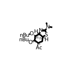 CCCCO[C@@H]1[C@H]2N=C(N(C)C)S[C@H]2C[C@H](C(C)=O)[C@H]1OCCCC